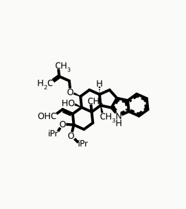 C=C(C)CO[C@H]1C[C@H]2Cc3c([nH]c4ccccc34)[C@]2(C)C2(C)CCC(OC(C)C)(OC(C)C)/C(=C\C=O)[C@]12O